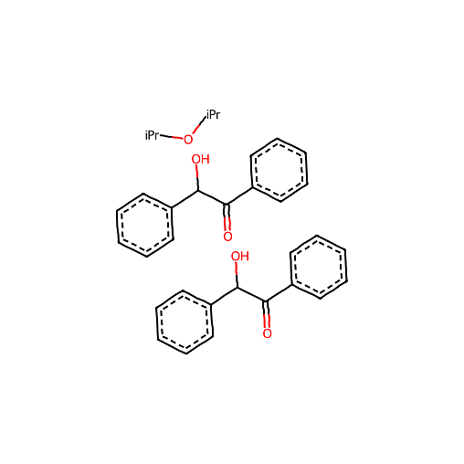 CC(C)OC(C)C.O=C(c1ccccc1)C(O)c1ccccc1.O=C(c1ccccc1)C(O)c1ccccc1